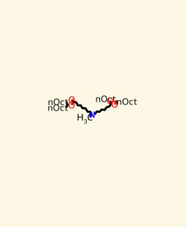 CCCCCCCCC(CCCCCCCC)OC(=O)CCCCCCCN(C)CCCCCCCC(=O)OC(CCCCCCCC)CCCCCCCC